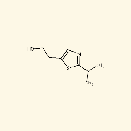 CN(C)c1ncc(CCO)s1